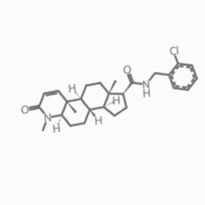 CN1C(=O)C=C[C@]2(C)[C@H]3CC[C@]4(C)[C@@H](C(=O)NCc5ccccc5Cl)CC[C@H]4[C@@H]3CC[C@@H]12